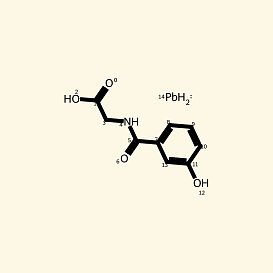 O=C(O)CNC(=O)c1cccc(O)c1.[PbH2]